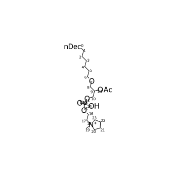 CCCCCCCCCCCCCCCCOC[C@H](COP(=O)(O)OCC[N+]1(C)CCCC1)OC(C)=O